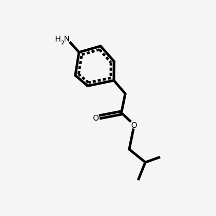 CC(C)COC(=O)Cc1ccc(N)cc1